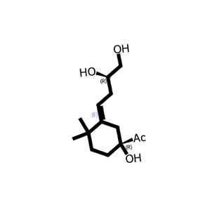 CC(=O)[C@@]1(O)CCC(C)(C)/C(=C/C[C@@H](O)CO)C1